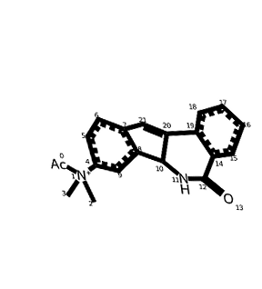 CC(=O)[N+](C)(C)c1ccc2c(c1)C1NC(=O)c3ccccc3C1=C2